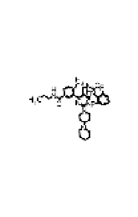 CCCNC(=O)c1ccc(C)c(-c2nc(N3CCC(N4CCCCC4)CC3)nc3c2CNC(=O)N3c2c(F)cccc2F)c1